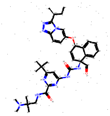 CC[C@H](C)c1nnc2ccc(O[C@@H]3C=C[C@](C=O)(NC(=O)Nc4cc(C(C)(C)C)nc(C(=O)NCC(C)(C)N(C)C)n4)c4ccccc43)cn12